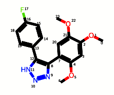 COc1cc(OC)c(-c2nn[nH]c2-c2ccc(F)cc2)cc1OC